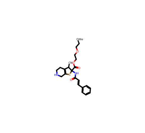 COCCOCCOC(=O)C1(NC(=O)C=Cc2ccccc2)SC2=C(CCNC2)C1C#N